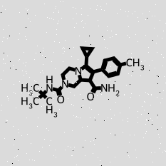 Cc1ccc(C2=C(C3CC3)N3CCN(C(=O)NC(C)(C)C)CC3C2C(N)=O)cc1